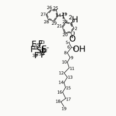 [2H]c1cc(OCC(O)CCCCCCCCCCCC)ccc1[I+]c1ccccc1.[F][Sb-]([F])([F])([F])([F])[F]